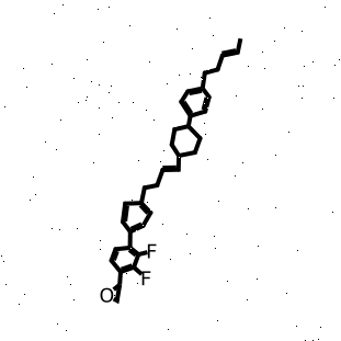 C/C=C/CCc1ccc(C2CCC(/C=C/CCc3ccc(-c4ccc(C5CO5)c(F)c4F)cc3)CC2)cc1